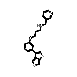 c1cncc(CNCCCOc2cccc(-c3csc4cocc34)c2)c1